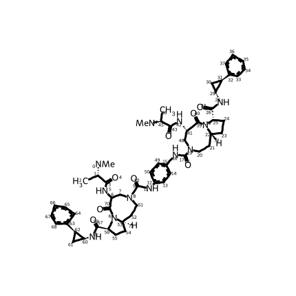 CN[C@@H](C)C(=O)NC1CN(C(=O)Nc2ccc(NC(=O)N3CC[C@H]4CC[C@@H](C(=O)N[C@@H]5C[C@H]5c5ccccc5)N4C(=O)[C@@H](NC(=O)[C@H](C)NC)C3)cc2)CC[C@H]2CC[C@@H](C(=O)N[C@@H]3C[C@H]3c3ccccc3)N2C1=O